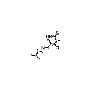 CC(C)=CCNCc1c[nH]c(=S)[nH]c1=O